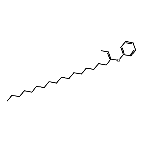 CC=C(CCCCCCCCCCCCCCCCC)Oc1ccccc1